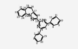 c1ccc(-c2cc(-c3ccccc3)nc(-c3cc4ccc5ccccc5n4n3)n2)cc1